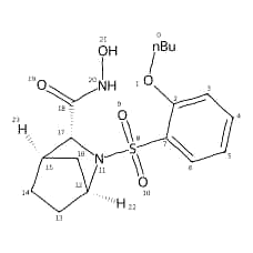 CCCCOc1ccccc1S(=O)(=O)N1[C@H]2CC[C@H](C2)[C@@H]1C(=O)NO